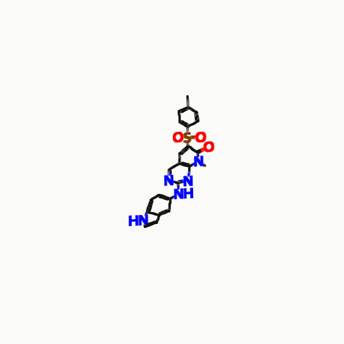 Cc1ccc(S(=O)(=O)c2cc3cnc(Nc4ccc5[nH]ccc5c4)nc3n(C)c2=O)cc1